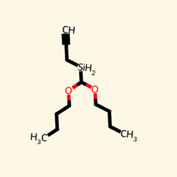 C#CC[SiH2]C(OCCCC)OCCCC